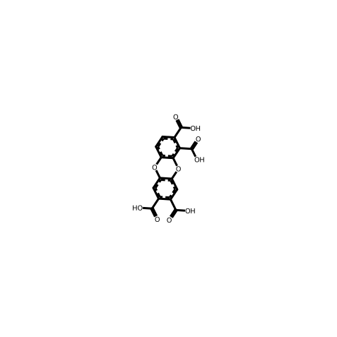 O=C(O)c1cc2c(cc1C(=O)O)Oc1c(ccc(C(=O)O)c1C(=O)O)O2